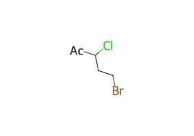 CC(=O)C(Cl)CCBr